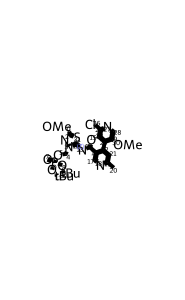 COc1nn(COP(=O)(OC(C)(C)C)OC(C)(C)C)/c(=N/C(=O)c2cnc(C)cc2-c2cc(Cl)ncc2OC)s1